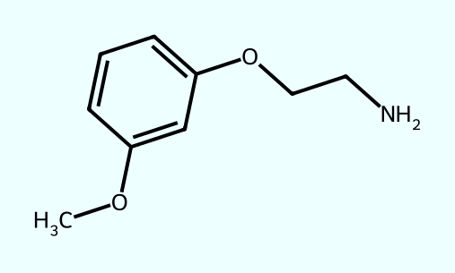 COc1cccc(OCCN)c1